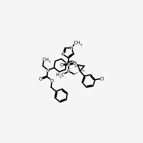 CCN(C(=O)OCc1ccccc1)C1CCN(C[C@@H]2C[C@@]2(CN(C)S(=O)(=O)c2cn(C)cn2)c2cccc(Cl)c2)CC1